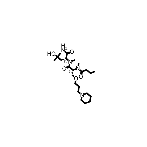 CCCC(=O)N(C)[C@H](COCCCN1CCCCC1)C(=O)N(C)[C@@H](CC(C)(C)O)C(N)=O